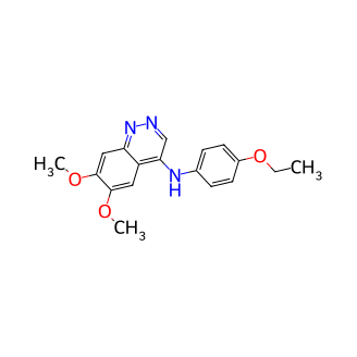 CCOc1ccc(Nc2cnnc3cc(OC)c(OC)cc23)cc1